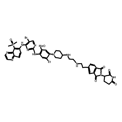 CCc1cc(Nc2ncc(Br)c(Nc3ccc4nccnc4c3P(C)(C)=O)n2)c(OC)cc1N1CCC(NCCNCCc2ccc3c(c2)C(=O)N(C2CCC(=O)NC2=O)C3=O)CC1